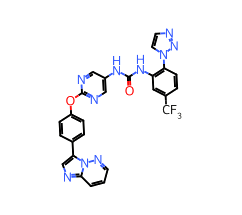 O=C(Nc1cnc(Oc2ccc(-c3cnc4cccnn34)cc2)nc1)Nc1cc(C(F)(F)F)ccc1-n1ccnn1